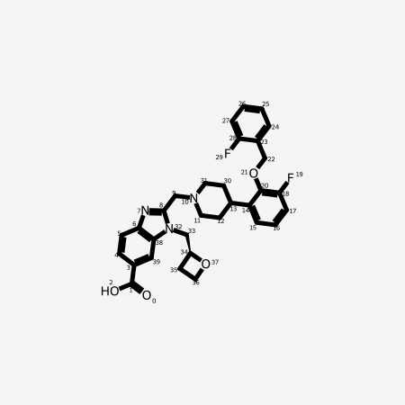 O=C(O)c1ccc2nc(CN3CCC(c4cccc(F)c4OCc4ccccc4F)CC3)n(C[C@@H]3CCO3)c2c1